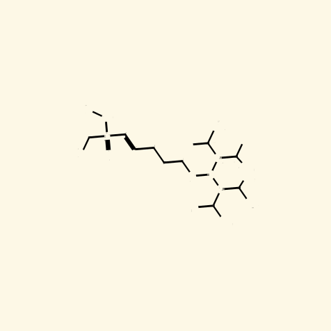 CCP(=O)(/C=C/CCCOP(N(C(C)C)C(C)C)N(C(C)C)C(C)C)OC